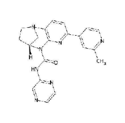 Cc1cc(-c2ccc3c(n2)N(C(=O)Nc2cnccn2)[C@@H]2CCN3C2)ccn1